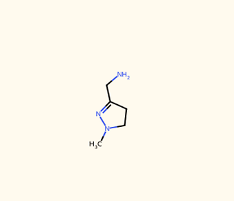 CN1CCC(CN)=N1